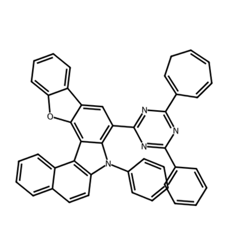 C1=CCC=C(c2nc(-c3ccccc3)nc(-c3cc4c5ccccc5oc4c4c5c6ccccc6ccc5n(-c5ccccc5)c34)n2)C=C1